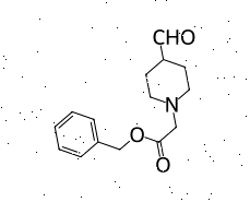 O=CC1CCN(CC(=O)OCc2ccccc2)CC1